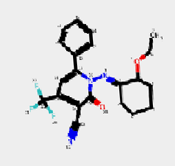 CCOC1CCCC/C1=N\n1c(-c2ccccc2)cc(C(F)(F)F)c(C#N)c1=O